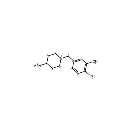 CNC1CCN(Cc2ccc(O)c(O)c2)CC1